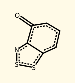 O=c1cccc2ssnc1-2